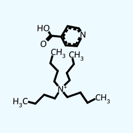 CCCC[N+](CCCC)(CCCC)CCCC.O=C(O)c1ccncc1